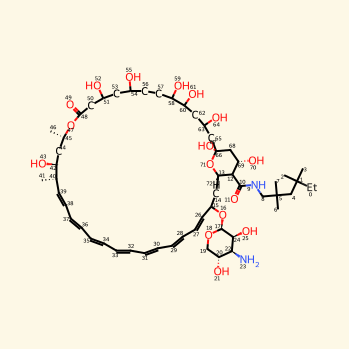 CCC(C)(C)CC(C)(C)CNC(=O)C1[C@@H]2CC(O[C@@H]3OC[C@@H](O)[C@H](N)[C@@H]3O)/C=C/C=C/C=C/C=C/C=C/C=C/C=C/[C@H](C)[C@@H](O)C[C@H](C)OC(=O)CC(O)CC(O)CCC(O)C(O)CC(O)CC(O)(C[C@@H]1O)O2